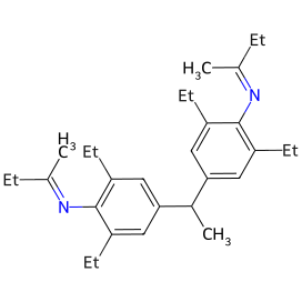 CCC(C)=Nc1c(CC)cc(C(C)c2cc(CC)c(N=C(C)CC)c(CC)c2)cc1CC